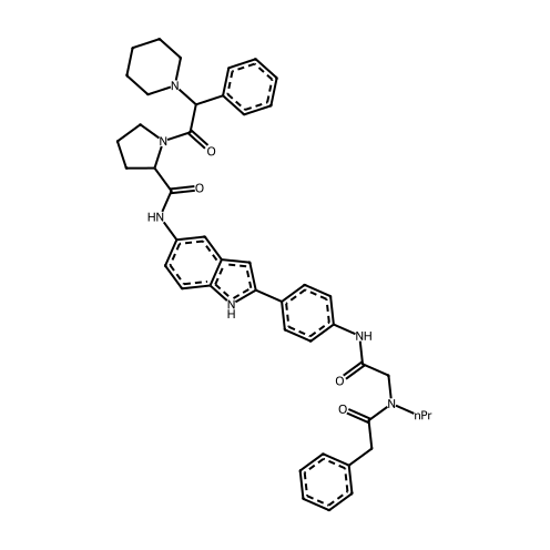 CCCN(CC(=O)Nc1ccc(-c2cc3cc(NC(=O)C4CCCN4C(=O)C(c4ccccc4)N4CCCCC4)ccc3[nH]2)cc1)C(=O)Cc1ccccc1